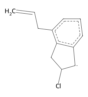 C=CCc1cccc2c1CC(Cl)[CH]2